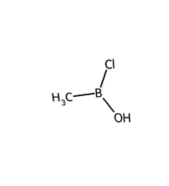 CB(O)Cl